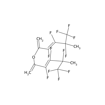 C=C(OC(=C)C(F)=C(F)C(C)(F)C(F)(F)F)C(F)=C(F)C(C)(F)C(F)(F)F